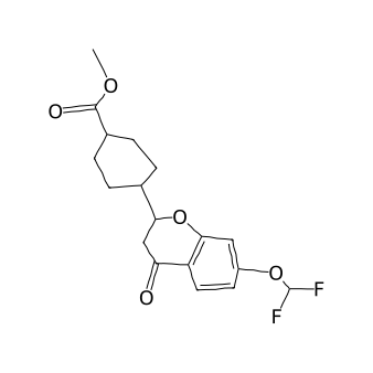 COC(=O)C1CCC(C2CC(=O)c3ccc(OC(F)F)cc3O2)CC1